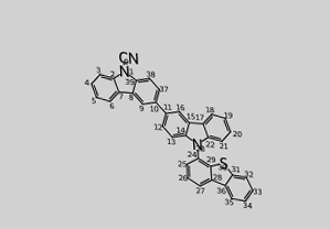 N#Cn1c2ccccc2c2cc(-c3ccc4c(c3)c3ccccc3n4-c3cccc4c3sc3ccccc34)ccc21